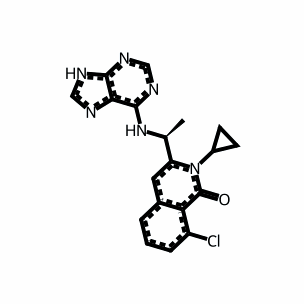 C[C@H](Nc1ncnc2[nH]cnc12)c1cc2cccc(Cl)c2c(=O)n1C1CC1